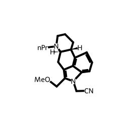 CCCN1CCC[C@@H]2c3cccc4c3c(c(COC)n4CC#N)C[C@H]21